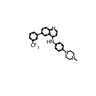 CN1CCN(c2ccc(Nc3ccnc4ccc(-c5cccc(C(F)(F)F)c5)cc34)cc2)CC1